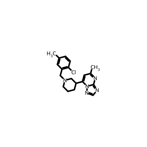 Cc1ccc(Cl)c(CN2CCCC(c3cc(C)nc4ncnn34)C2)c1